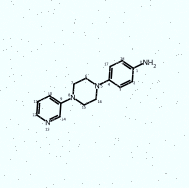 Nc1ccc(N2CCN(c3cccnc3)CC2)cc1